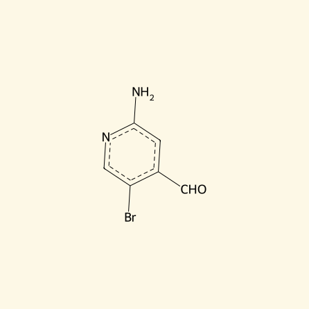 Nc1cc(C=O)c(Br)cn1